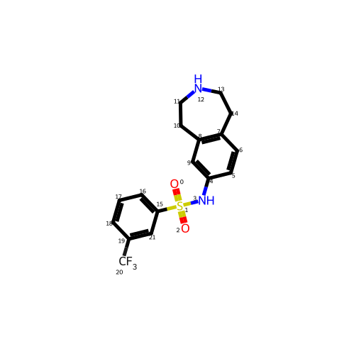 O=S(=O)(Nc1ccc2c(c1)CCNCC2)c1cccc(C(F)(F)F)c1